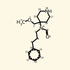 COCC1(N(C=O)CCCc2ccccc2)CCNCC1